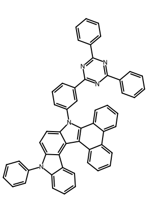 c1ccc(-c2nc(-c3ccccc3)nc(-c3cccc(-n4c5ccc6c(c7ccccc7n6-c6ccccc6)c5c5c6ccccc6c6ccccc6c54)c3)n2)cc1